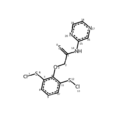 S=C(COc1c(SCl)cccc1SCl)Nc1cnccn1